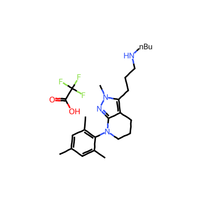 CCCCNCCCc1c2c(nn1C)N(c1c(C)cc(C)cc1C)CCC2.O=C(O)C(F)(F)F